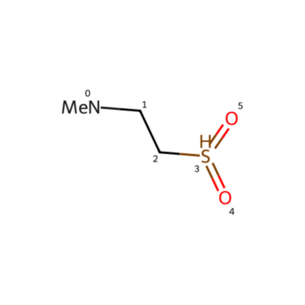 CNCC[SH](=O)=O